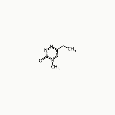 CCc1cn(C)c(=O)nn1